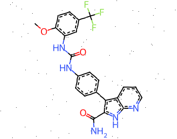 COc1ccc(C(F)(F)F)cc1NC(=O)Nc1ccc(-c2c(C(N)=O)[nH]c3ncccc23)cc1